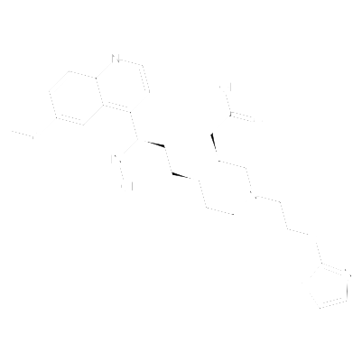 COc1ccc2nccc([C@@H](CC[C@@H]3CCN(CCSc4nccs4)C[C@@H]3CC(=O)O)NO)c2c1